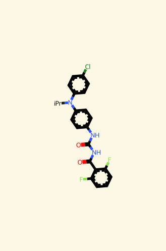 CC(C)N(c1ccc(Cl)cc1)c1ccc(NC(=O)NC(=O)c2c(F)cccc2F)cc1